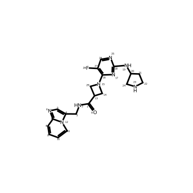 O=C(NCc1cnc2ccccn12)C1CN(c2nc(NC3CCNC3)ncc2F)C1